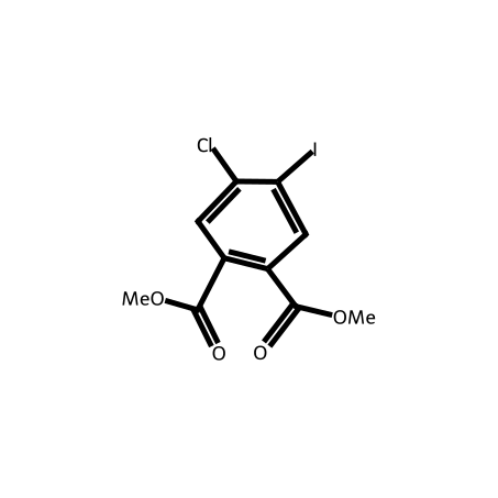 COC(=O)c1cc(Cl)c(I)cc1C(=O)OC